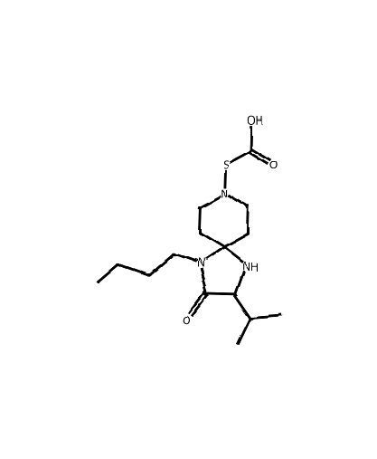 CCCCN1C(=O)C(C(C)C)NC12CCN(SC(=O)O)CC2